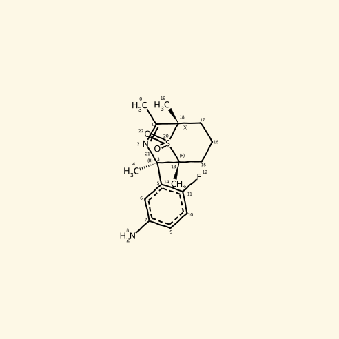 CC1=N[C@](C)(c2cc(N)ccc2F)[C@@]2(C)CCC[C@]1(C)S2(=O)=O